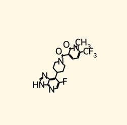 Cn1c(C(F)(F)F)ccc(C(=O)N2CCC(c3c(F)cnc4[nH]cnc34)CC2)c1=O